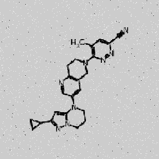 Cc1cc(C#N)nnc1N1CCc2ncc(N3CCCn4nc(C5CC5)cc43)cc2C1